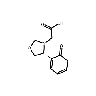 O=C(O)CN1COC[C@H]1C1=CC=CCC1=O